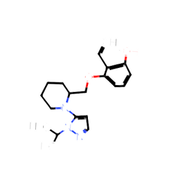 C=Cc1c(O)cccc1OCC1CCCCN1c1ccnn1C(C)C